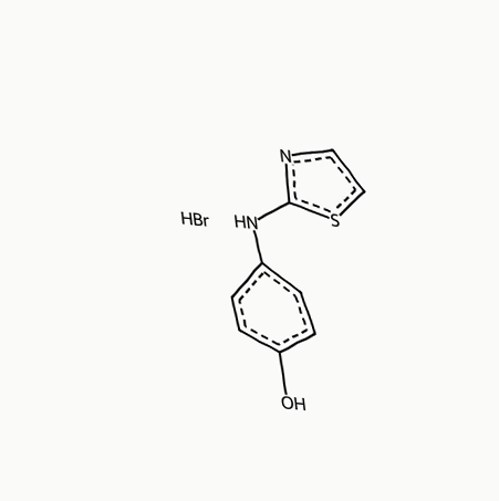 Br.Oc1ccc(Nc2nccs2)cc1